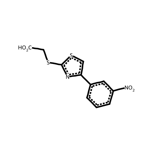 O=C(O)CSc1nc(-c2cccc([N+](=O)[O-])c2)cs1